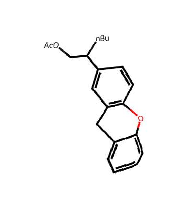 CCCCC(COC(C)=O)c1ccc2c(c1)Cc1ccccc1O2